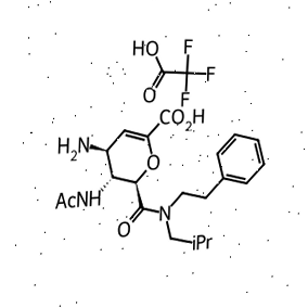 CC(=O)N[C@@H]1[C@@H](N)C=C(C(=O)O)O[C@H]1C(=O)N(CCc1ccccc1)CC(C)C.O=C(O)C(F)(F)F